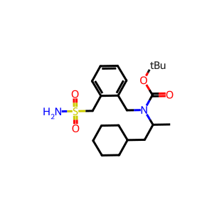 CC(CC1CCCCC1)N(Cc1ccccc1CS(N)(=O)=O)C(=O)OC(C)(C)C